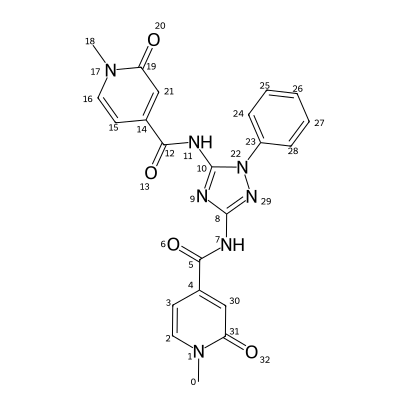 Cn1ccc(C(=O)Nc2nc(NC(=O)c3ccn(C)c(=O)c3)n(-c3ccccc3)n2)cc1=O